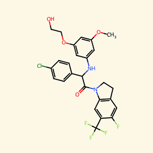 COc1cc(NC(C(=O)N2CCc3cc(F)c(C(F)(F)F)cc32)c2ccc(Cl)cc2)cc(OCCO)c1